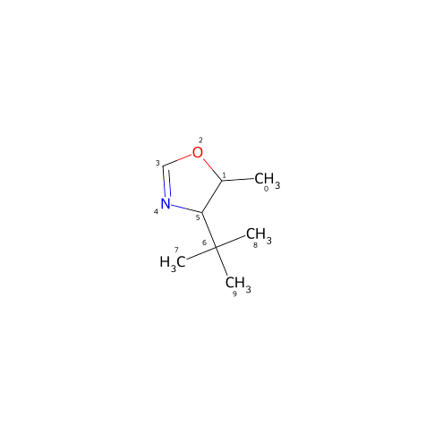 CC1OC=NC1C(C)(C)C